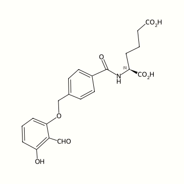 O=Cc1c(O)cccc1OCc1ccc(C(=O)N[C@@H](CCCC(=O)O)C(=O)O)cc1